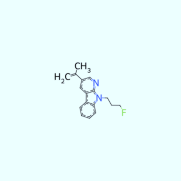 C=C(C)c1cnc2c(c1)c1ccccc1n2CCCF